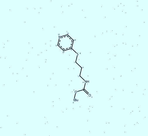 CC(C)(C)OC(=O)NCCCSc1ccncc1